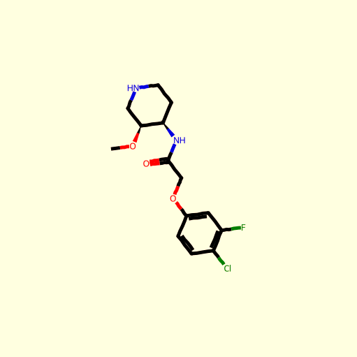 CO[C@H]1CNCC[C@H]1NC(=O)COc1ccc(Cl)c(F)c1